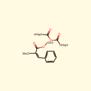 CCCCCCCC(=O)OC(=O)CCCCCCC.CCCCCCCCOC(=O)C(=Cc1ccccc1)OC